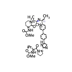 C/C=C(\N=C(/C)[C@H](C)N1CCC[C@@H](NC(=O)OC)C1=O)c1ccc(-c2ccc(-c3cnc([C@@H]4CCCN4C(=O)[C@@H](NC(=O)OC)C(C)C)[nH]3)cc2)cc1